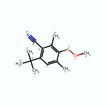 COSc1c(C)cc(C(C)(C)C)c(C#N)c1C